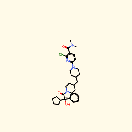 CN(C)C(=O)c1ccc(N2CCC(CC3CCN(C(=O)[C@](O)(c4ccccc4)C4CCCC4)CC3)CC2)nc1Cl